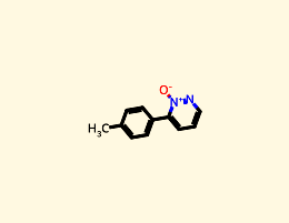 Cc1ccc(-c2cccn[n+]2[O-])cc1